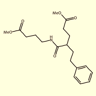 COC(=O)CCCNC(=O)C(CCC(=O)OC)CCc1ccccc1